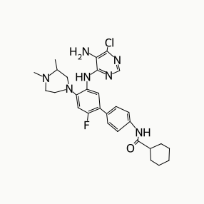 CC1CN(c2cc(F)c(-c3ccc(NC(=O)C4CCCCC4)cc3)cc2Nc2ncnc(Cl)c2N)CCN1C